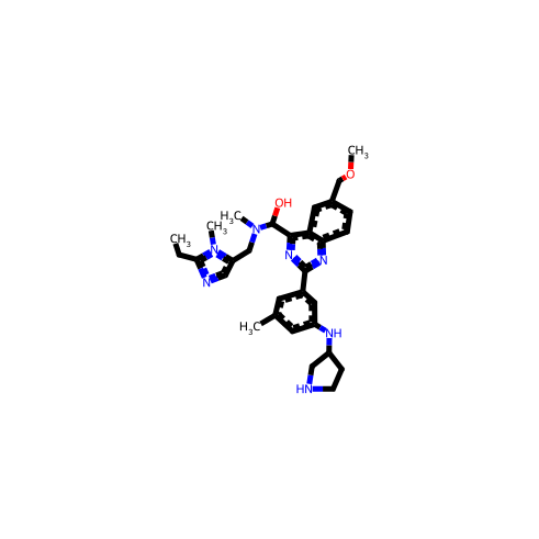 CCc1ncc(CN(C)C(O)c2nc(-c3cc(C)cc(NC4CCNC4)c3)nc3ccc(COC)cc23)n1C